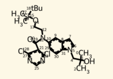 CC(C)(O)Cn1ccc2cc(N(CCO[Si](C)(C)C(C)(C)C)C(=O)c3c(Cl)ncnc3Cl)ccc21